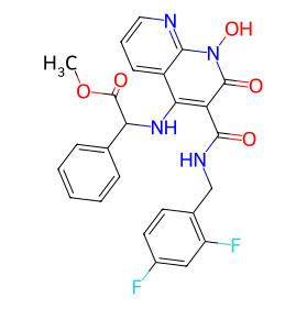 COC(=O)C(Nc1c(C(=O)NCc2ccc(F)cc2F)c(=O)n(O)c2ncccc12)c1ccccc1